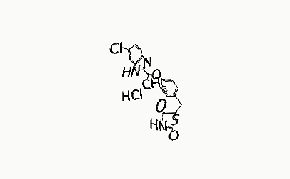 CC(Oc1ccc(CC2SC(=O)NC2=O)cc1)c1nc2ccc(Cl)cc2[nH]1.Cl